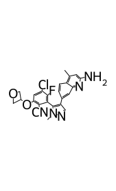 Cc1cc(N)nc2cc(-c3cnn(C)c3-c3c(F)c(Cl)cc(OC4COC4)c3C#N)ccc12